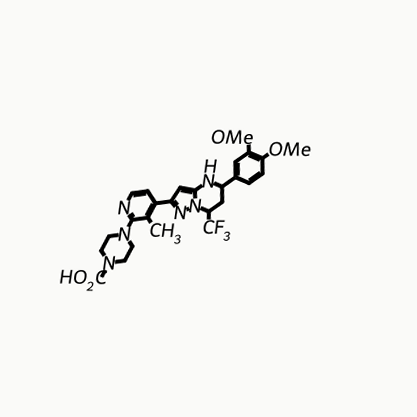 COc1ccc(C2CC(C(F)(F)F)n3nc(-c4ccnc(N5CCN(C(=O)O)CC5)c4C)cc3N2)cc1OC